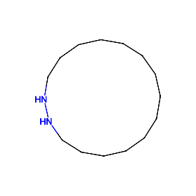 C1CCCCCCCNNCCCCCC1